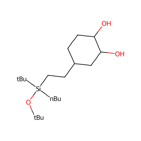 CCCC[Si](CCC1CCC(O)C(O)C1)(OC(C)(C)C)C(C)(C)C